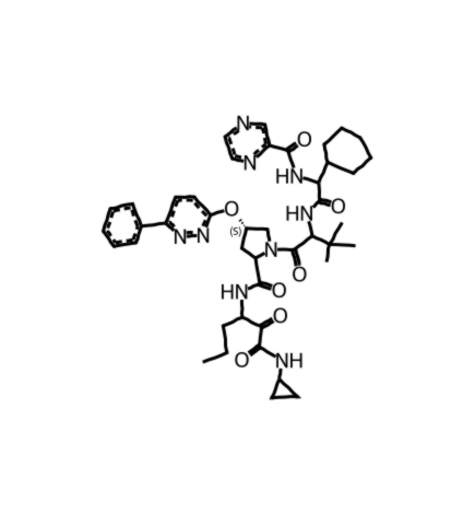 CCCC(NC(=O)C1C[C@H](Oc2ccc(-c3ccccc3)nn2)CN1C(=O)C(NC(=O)C(NC(=O)c1cnccn1)C1CCCCC1)C(C)(C)C)C(=O)C(=O)NC1CC1